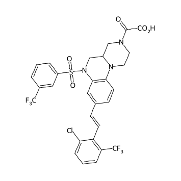 O=C(O)C(=O)N1CCN2c3ccc(/C=C/c4c(Cl)cccc4C(F)(F)F)cc3N(S(=O)(=O)c3cccc(C(F)(F)F)c3)CC2C1